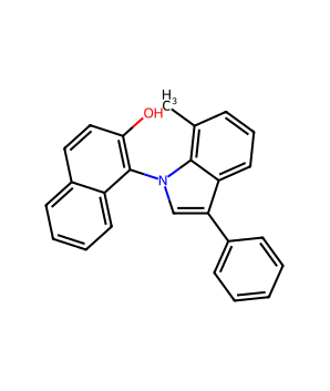 Cc1cccc2c(-c3ccccc3)cn(-c3c(O)ccc4ccccc34)c12